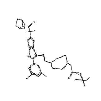 Cc1cc(C)cc(-c2[nH]c3sc(C(C)(C)C(=O)N4C5CCC4CC5)cc3c2CCN2CCN(CC(=O)OC(C)(C)C)CC2)c1